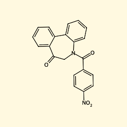 O=C1CN(C(=O)c2ccc([N+](=O)[O-])cc2)c2ccccc2-c2ccccc21